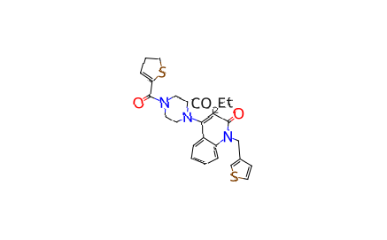 CCOC(=O)c1c(N2CCN(C(=O)C3=CCCS3)CC2)c2ccccc2n(Cc2ccsc2)c1=O